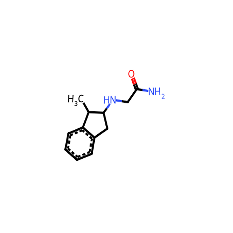 CC1c2ccccc2CC1NCC(N)=O